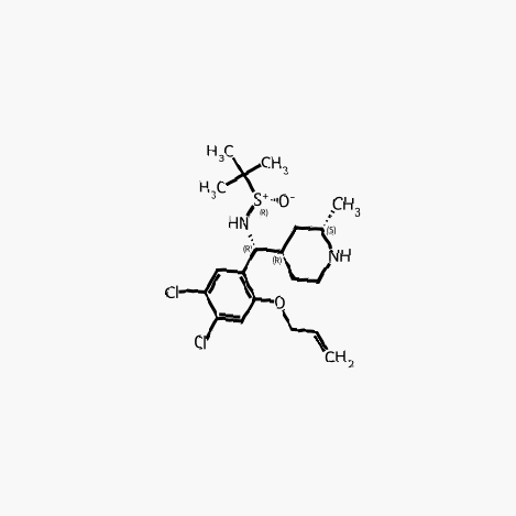 C=CCOc1cc(Cl)c(Cl)cc1[C@H](N[S@@+]([O-])C(C)(C)C)[C@@H]1CCN[C@@H](C)C1